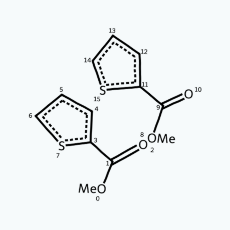 COC(=O)c1cccs1.COC(=O)c1cccs1